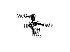 COCCCCOc1ccc([C@@H]2[C@@H](OCc3ccc4c(c3)N(CCCOC)CCO4)CNC[C@H]2OC[C@H](O)CO[N+](=O)[O-])cc1